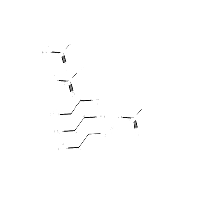 N.O=[N+]([O-])O.O=[N+]([O-])O.O=[N+]([O-])O.OCCO.OCCO.OCCO